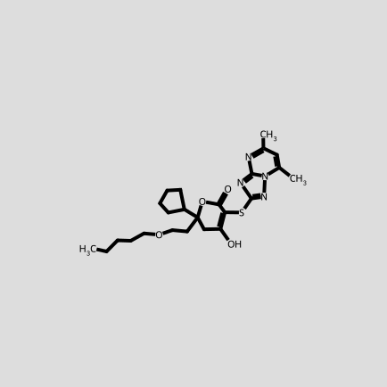 CCCCCOCCC1(C2CCCC2)CC(O)=C(Sc2nc3nc(C)cc(C)n3n2)C(=O)O1